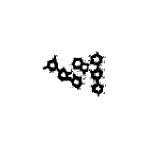 Cc1cc(C)cc(-c2ccc3c4ccccc4n(-c4cccc5c4C(=O)N(c4cc(-c6ccccc6)ccc4-c4ccccc4)C5=O)c3c2)c1